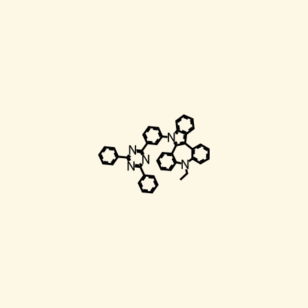 CCN1c2ccccc2-c2c(n(-c3cccc(-c4nc(-c5ccccc5)nc(-c5ccccc5)n4)c3)c3ccccc23)-c2ccccc21